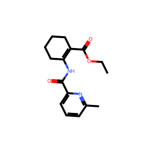 CCOC(=O)C1=C(NC(=O)c2cccc(C)n2)CCCC1